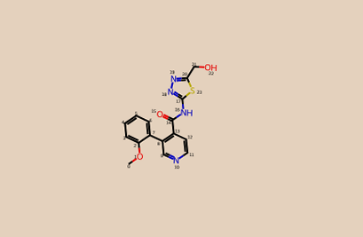 COc1ccccc1-c1cnccc1C(=O)Nc1nnc(CO)s1